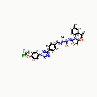 Cc1ccc(N2C(=O)CS/C2=N\C(=S)N/N=C/c2ccc(-c3ncn(-c4ccc(OC(F)(F)F)cc4)n3)cc2)c(C(C)C)c1